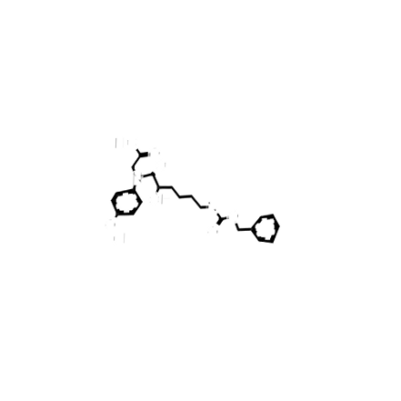 COc1ccc(N(CC(=O)O)C(=O)C(O)CCCCNC(=O)OCc2ccccc2)cc1